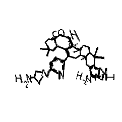 CC1(C)CC[C@]2(C(=O)O)CC[C@]3(C)C(=C(c4ccc(N5CCC(N)C5)nc4)CC4[C@@]5(C)Cc6c(n[nH]c6N)C(C)(C)C5CC[C@]43C)C2C1